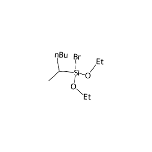 CCCCC(C)[Si](Br)(OCC)OCC